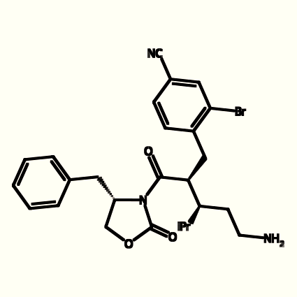 CC(C)[C@H](CCN)[C@H](Cc1ccc(C#N)cc1Br)C(=O)N1C(=O)OC[C@@H]1Cc1ccccc1